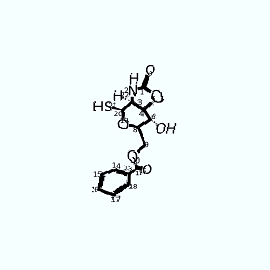 O=C1N[C@H]2C(O1)[C@H](O)C(COC(=O)c1ccccc1)O[C@H]2S